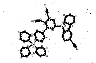 N#Cc1ccc2c(c1)c1ccccc1n2-c1cc(C#N)c(C#N)c(-c2ccc([Si](c3ccccc3)(c3ccccc3)c3ccccc3)cc2)c1